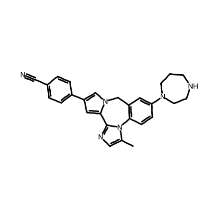 Cc1cnc2n1-c1ccc(N3CCCNCC3)cc1Cn1cc(-c3ccc(C#N)cc3)cc1-2